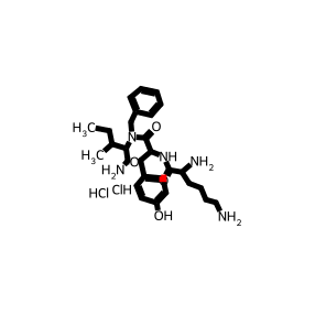 CCC(C)C(C(N)=O)N(Cc1ccccc1)C(=O)C(Cc1ccc(O)cc1)NC(=O)C(N)CCCCN.Cl.Cl